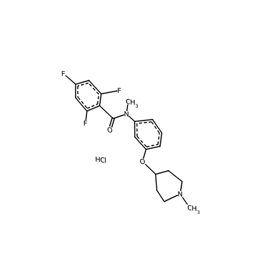 CN1CCC(Oc2cccc(N(C)C(=O)c3c(F)cc(F)cc3F)c2)CC1.Cl